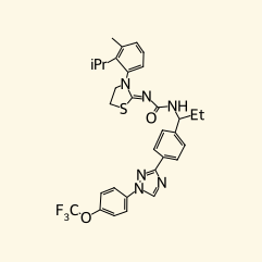 CCC(NC(=O)/N=C1\SCCN1c1cccc(C)c1C(C)C)c1ccc(-c2ncn(-c3ccc(OC(F)(F)F)cc3)n2)cc1